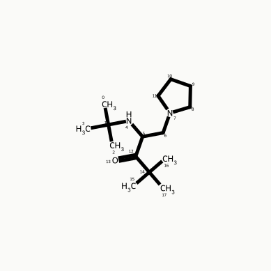 CC(C)(C)NC(CN1CCCC1)C(=O)C(C)(C)C